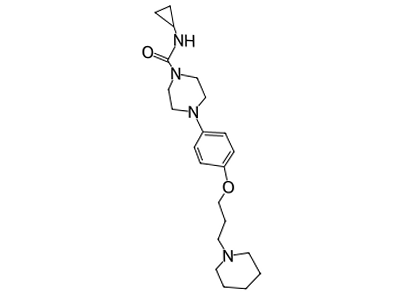 O=C(NC1CC1)N1CCN(c2ccc(OCCCN3CCCCC3)cc2)CC1